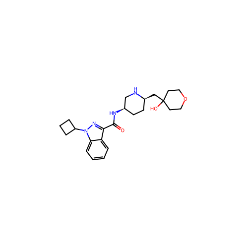 O=C(N[C@@H]1CC[C@H](CC2(O)CCOCC2)NC1)c1nn(C2CCC2)c2ccccc12